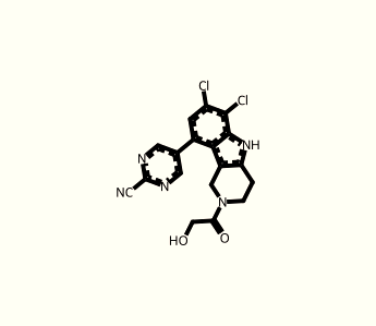 N#Cc1ncc(-c2cc(Cl)c(Cl)c3[nH]c4c(c23)CN(C(=O)CO)CC4)cn1